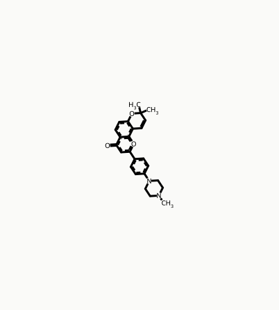 CN1CCN(c2ccc(-c3cc(=O)c4ccc5c(c4o3)C=CC(C)(C)O5)cc2)CC1